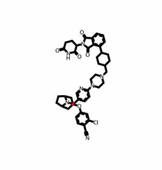 N#Cc1ccc(OC2CC3CCC(C2)N3Cc2ccc(N3CCN(CC4CCC(c5cccc6c5C(=O)N(C5CCC(=O)NC5=O)C6=O)CC4)CC3)nc2)cc1Cl